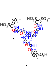 CN(C(=O)c1cc(Nc2nc(Nc3cc(C(=O)N(C)c4c[nH]c(C(=O)Nc5ccc(S(=O)(=O)O)c6cc(S(=O)(=O)O)ccc56)c4)n(C)c3)nc(Nc3cc(C(=O)N(C)c4c[nH]c(C(=O)Nc5ccc(S(=O)(=O)O)c6cc(S(=O)(=O)O)ccc56)c4)n(C)c3)n2)cn1C)c1c[nH]c(C(=O)Nc2ccc(S(=O)(=O)O)c3cc(S(=O)(=O)O)ccc23)c1